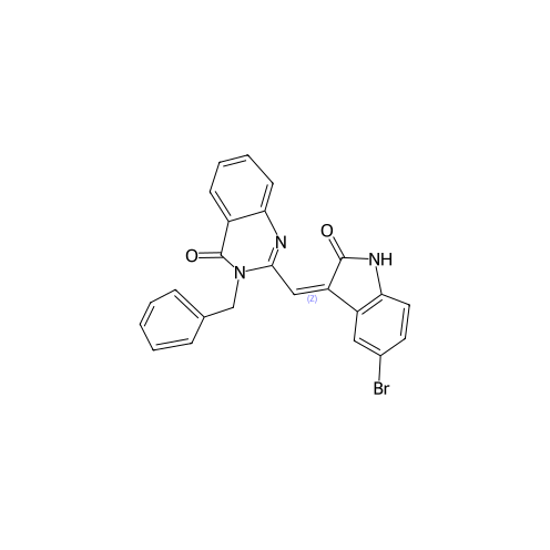 O=C1Nc2ccc(Br)cc2/C1=C/c1nc2ccccc2c(=O)n1Cc1ccccc1